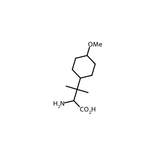 COC1CCC(C(C)(C)C(N)C(=O)O)CC1